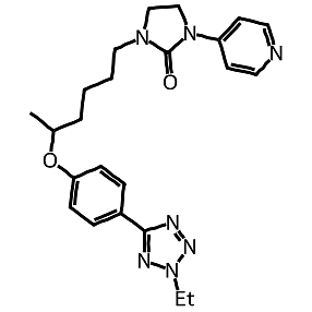 CCn1nnc(-c2ccc(OC(C)CCCCN3CCN(c4ccncc4)C3=O)cc2)n1